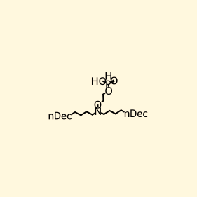 CCCCCCCCCCCCCCN(CCCCCCCCCCCCCC)OCCO[PH](=O)O